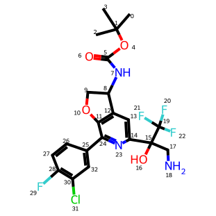 CC(C)(C)OC(=O)NC1COc2c1cc(C(O)(CN)C(F)(F)F)nc2-c1ccc(F)c(Cl)c1